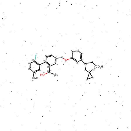 CCC1(C[C@H](CC(=O)O)c2cccc(OCc3ccc(-c4cc(OC)ccc4F)c([C@H](O)C(C)(C)C)c3)c2)CC1